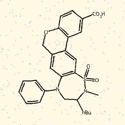 CCCCC1CN(c2ccccc2)c2cc3c(cc2S(=O)(=O)N1C)-c1cc(C(=O)O)ccc1OC3